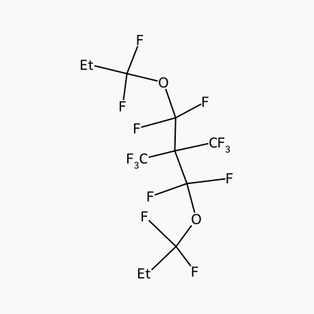 CCC(F)(F)OC(F)(F)C(C(F)(F)F)(C(F)(F)F)C(F)(F)OC(F)(F)CC